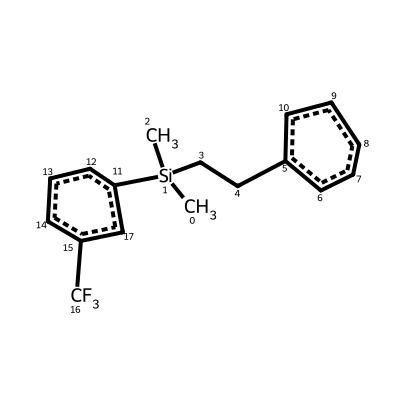 C[Si](C)(CCc1ccccc1)c1cccc(C(F)(F)F)c1